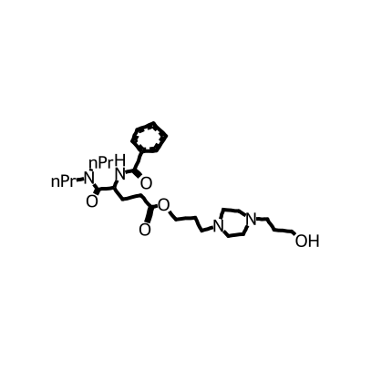 CCCN(CCC)C(=O)C(CCC(=O)OCCCN1CCN(CCCO)CC1)NC(=O)c1ccccc1